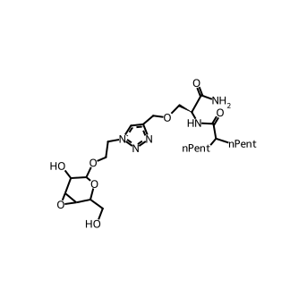 CCCCCC(CCCCC)C(=O)N[C@@H](COCc1cn(CCOC2OC(CO)C3OC3C2O)nn1)C(N)=O